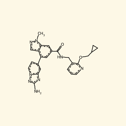 Cn1ncc2c(-c3ccn4nc(N)nc4c3)cc(C(=O)NCc3cccnc3OCC3CC3)cc21